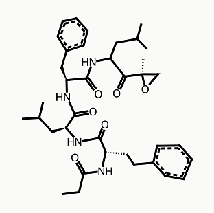 CCC(=O)N[C@@H](CCc1ccccc1)C(=O)N[C@@H](CC(C)C)C(=O)N[C@@H](Cc1ccccc1)C(=O)NC(CC(C)C)C(=O)[C@@]1(C)CO1